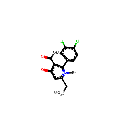 CCOC(=O)Cc1cc(=O)c(C(=O)OC)c(-c2ccc(Cl)c(Cl)c2)n1CC